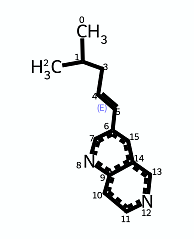 CC(C)C/C=C/c1cnc2ccncc2c1